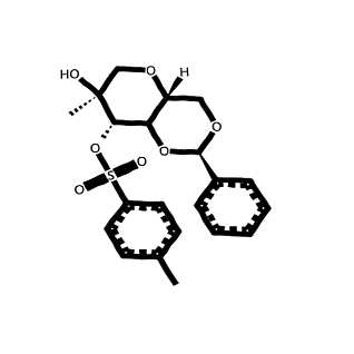 Cc1ccc(S(=O)(=O)O[C@H]2C3O[C@H](c4ccccc4)OC[C@H]3OC[C@]2(C)O)cc1